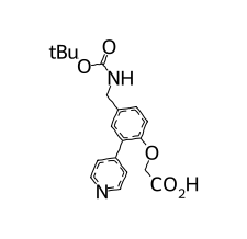 CC(C)(C)OC(=O)NCc1ccc(OCC(=O)O)c(-c2ccncc2)c1